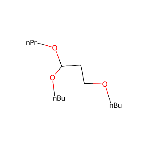 [CH2]CCOC(CCOCCCC)OCCCC